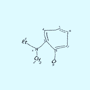 CCN(C)c1ccccc1[O]